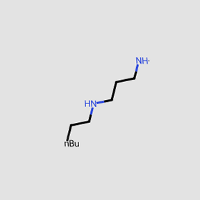 CCCCCCNCCC[NH]